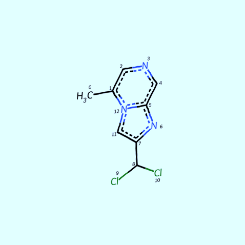 Cc1cncc2nc(C(Cl)Cl)cn12